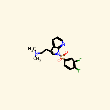 CN(C)CCc1cn(S(=O)(=O)c2ccc(F)c(F)c2)c2ncccc12